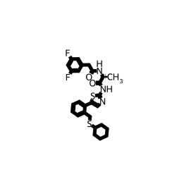 C[C@H](NC(=O)Cc1cc(F)cc(F)c1)C(=O)Nc1ncc(-c2ccccc2CSC2CCCCC2)s1